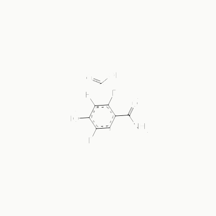 NC(=O)c1cc(F)c(O)c(F)c1F.O=CO